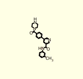 Cc1cccc(NC(=O)c2cncc(-c3ccc(C(=O)N4CCNCC4)cc3)c2)c1